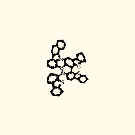 c1ccc2c(c1)ccc1c3cccc4c3n(c21)-c1cc2c(oc3ccccc32)c2c1B4N(c1cccc3c1sc1ccccc13)c1ccc3c(sc4ccccc43)c1-2